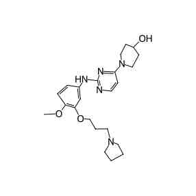 COc1ccc(Nc2nccc(N3CCC(O)CC3)n2)cc1OCCCN1CCCC1